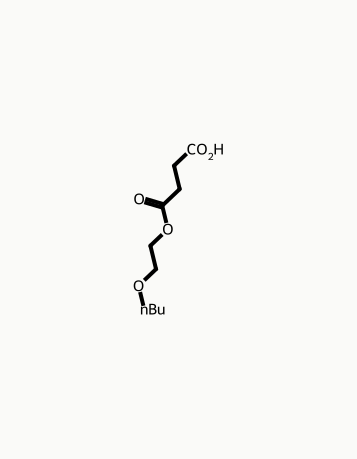 CCCCOCCOC(=O)CCC(=O)O